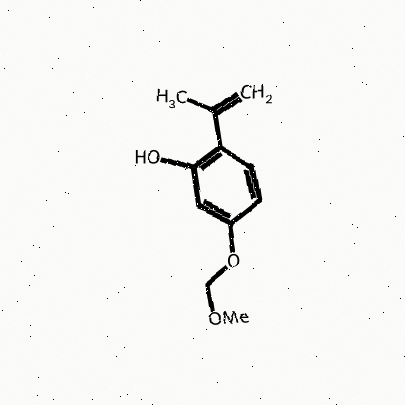 C=C(C)c1ccc(OCOC)cc1O